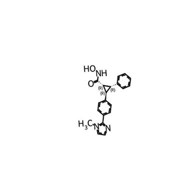 Cn1ccnc1-c1ccc([C@H]2[C@H](C(=O)NO)[C@@H]2c2ccccc2)cc1